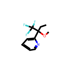 CCC(OC)(c1ccccn1)C(F)(F)F